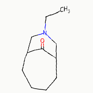 CCN1CC2CCCCC(C1)C2=O